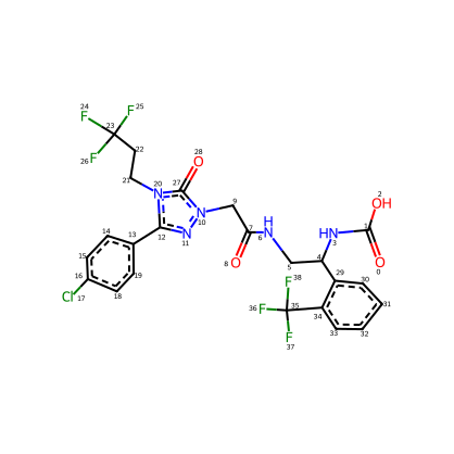 O=C(O)NC(CNC(=O)Cn1nc(-c2ccc(Cl)cc2)n(CCC(F)(F)F)c1=O)c1ccccc1C(F)(F)F